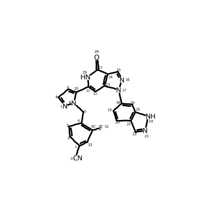 N#Cc1ccc(Cn2nccc2-c2cc3c(cnn3-c3ccc4cn[nH]c4c3)c(=O)[nH]2)c(F)c1